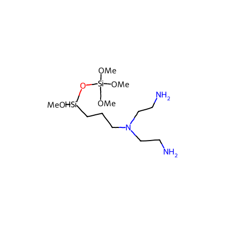 CO[SiH](CCCN(CCN)CCN)O[Si](OC)(OC)OC